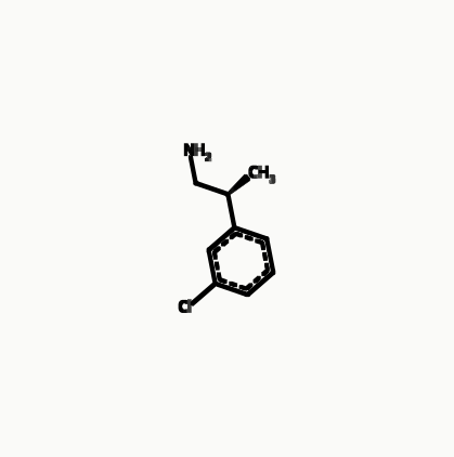 C[C@H](CN)c1cccc(Cl)c1